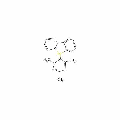 CC1=CC(C)C([SH]2c3ccccc3C3C=CC=CC32)C(C)=C1